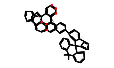 CC1(C)c2ccccc2C2(c3ccccc3-c3ccc(-c4ccc(N(c5ccccc5-c5ccccc5-c5ccccc5-c5ccccc5)c5cccc6c5oc5ccccc56)cc4)cc32)c2ccccc21